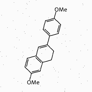 COc1ccc(C2=Cc3ccc(OC)cc3CC2)cc1